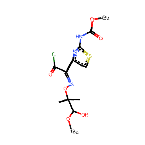 CC(C)(C)OC(=O)Nc1nc(/C(=N/OC(C)(C)C(O)OC(C)(C)C)C(=O)Cl)cs1